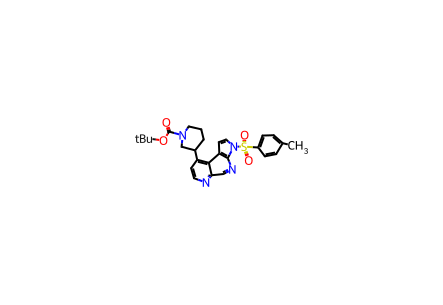 Cc1ccc(S(=O)(=O)n2ccc3c4c(C5CCCN(C(=O)OC(C)(C)C)C5)ccnc4cnc32)cc1